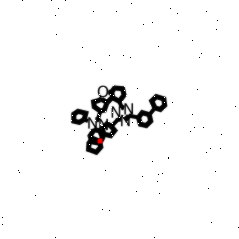 c1ccc(-c2ccc(-c3nc(-c4cccc(-c5ccccc5)c4)nc(-c4cccc5oc6ccc(-c7nc8ccccc8n7-c7ccccc7)cc6c45)n3)cc2)cc1